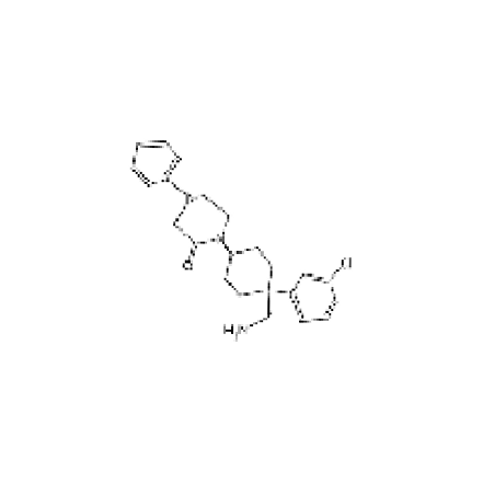 NC[C@]1(c2cccc(Cl)c2)CC[C@H](N2CCN(c3ccccc3)CC2=O)CC1